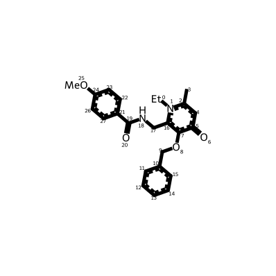 CCn1c(C)cc(=O)c(OCc2ccccc2)c1CNC(=O)c1ccc(OC)cc1